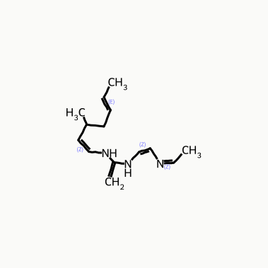 C=C(N/C=C\N=C/C)N/C=C\C(C)C/C=C/C